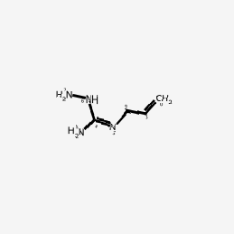 C=CCN=C(N)NN